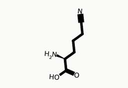 N#CCCC[C@H](N)C(=O)O